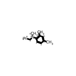 Cc1ccc(N(C)CC(C)C)c(C)c1